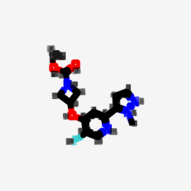 Cn1nccc1-c1cc(OC2CN(C(=O)OC(C)(C)C)C2)c(F)cn1